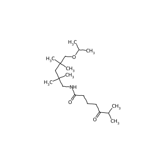 CC(C)OCC(C)(C)CC(C)(C)CNC(=O)CCCC(=O)C(C)C